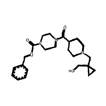 O=C(OCc1ccccc1)N1CCN(C(=O)C2CCN(CC3(CO)CC3)CC2)CC1